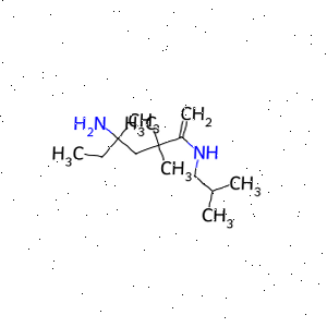 C=C(NCC(C)C)C(C)(C)CC(C)(N)CC